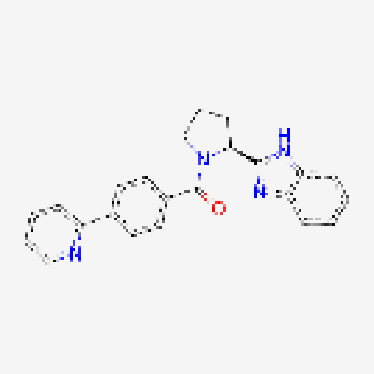 O=C(c1ccc(-c2ccccn2)cc1)N1CCC[C@H]1c1nc2ccccc2[nH]1